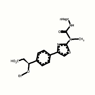 CCCCCCCNC(=O)N(C)c1nc(-c2ccc([C@H](CC(=O)O)OCC)cc2)cs1